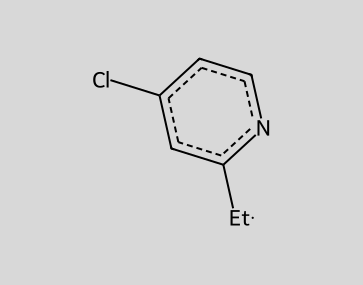 C[CH]c1cc(Cl)ccn1